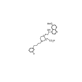 COc1ccc2nccc(C(O)CC[C@@H]3CCN(CCCCc4cccc(F)c4)C[C@@H]3CC(=O)O)c2c1